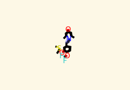 CSC(C)Oc1cc(/C=C/n2c(C)cc(=O)cc2C)ccc1OC(F)F